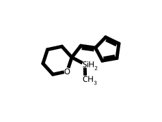 C[SiH2]C1(C=C2C=CC=C2)CCCCO1